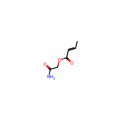 CC=CC(=O)OCC(N)=O